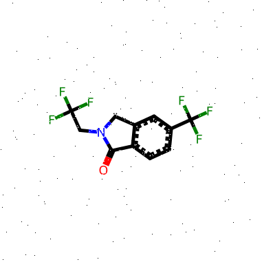 O=C1c2ccc(C(F)(F)F)cc2[C]N1CC(F)(F)F